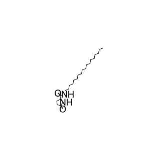 CCCCCCCCCCCCCCCCCCNC(=O)C1CCC(=O)N1